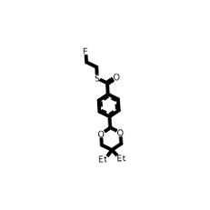 CCC1(CC)COC(c2ccc(C(=O)SCCF)cc2)OC1